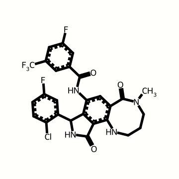 CN1CCCNc2c(cc(NC(=O)c3cc(F)cc(C(F)(F)F)c3)c3c2C(=O)NC3c2cc(F)ccc2Cl)C1=O